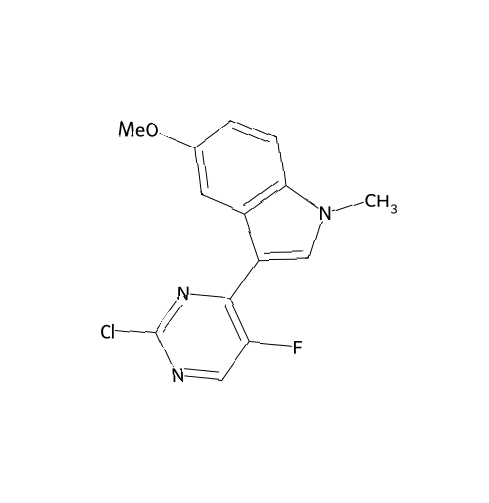 COc1ccc2c(c1)c(-c1nc(Cl)ncc1F)cn2C